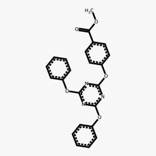 COC(=O)c1ccc(Oc2nc(Oc3ccccc3)nc(Oc3ccccc3)n2)cc1